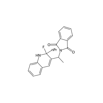 CCCC1(F)Nc2ccccc2C=C1C(C)N1C(=O)c2ccccc2C1=O